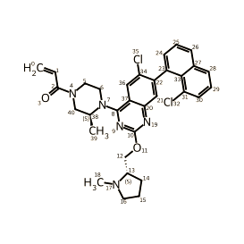 C=CC(=O)N1CCN(c2nc(OC[C@@H]3CCCN3C)nc3cc(-c4cccc5cccc(Cl)c45)c(Cl)cc23)[C@@H](C)C1